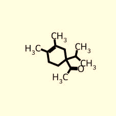 CC(=O)C1(C(C)C)CCC(C)=C(C)C1